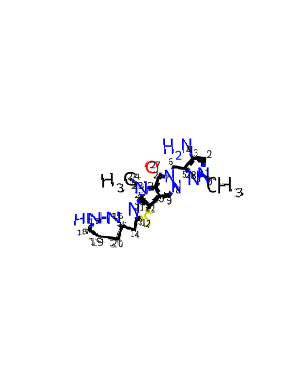 Cn1cc(N)c(Cn2ncc3c4sc(CC5=NNCCC5)nc4n(C)c3c2=O)n1